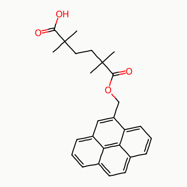 CC(C)(CCC(C)(C)C(=O)OCc1cc2cccc3ccc4cccc1c4c32)C(=O)O